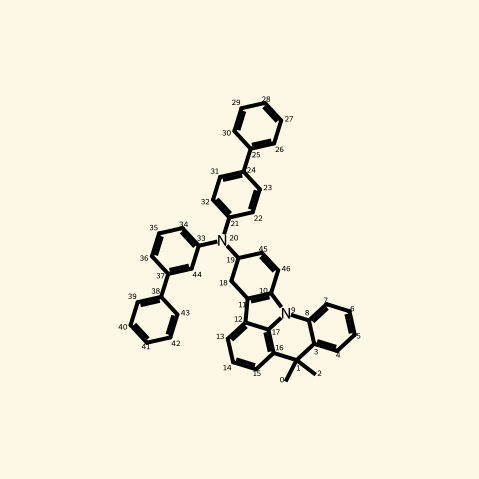 CC1(C)c2ccccc2-n2c3c(c4cccc1c42)CC(N(c1ccc(-c2ccccc2)cc1)c1cccc(-c2ccccc2)c1)C=C3